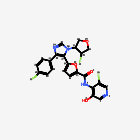 O=C(Nc1c(O)cncc1F)c1ccc(-c2c(-c3ccc(F)cc3)ncn2C2COCC2F)o1